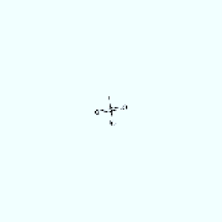 CS(=O)(=O)[1O]